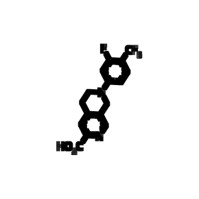 O=C(O)c1cc2c(cn1)CN(c1ccc(C(F)(F)F)c(F)c1)CC2